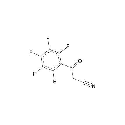 N#CCC(=O)c1c(F)c(F)c(F)c(F)c1F